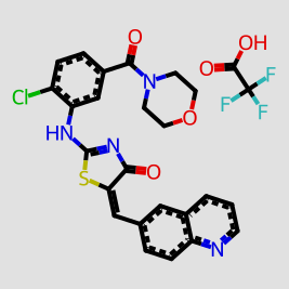 O=C(O)C(F)(F)F.O=C1N=C(Nc2cc(C(=O)N3CCOCC3)ccc2Cl)SC1=Cc1ccc2ncccc2c1